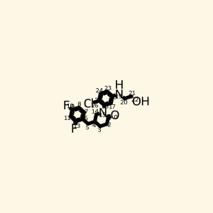 O=C1CCC(Cc2ccc(F)cc2F)CN1c1cc(NCCO)ccc1Cl